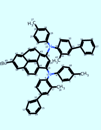 Cc1ccc(N(c2ccc(-c3ccccc3)cc2C)c2cc(N(c3ccc(C)cc3)c3ccc(-c4ccccc4)cc3C)c3ccc4cc(C(C)(C)C)cc5ccc2c3c54)cc1